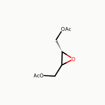 CC(=O)OCC1O[C@H]1COC(C)=O